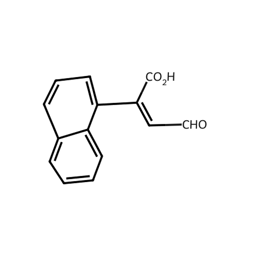 O=CC=C(C(=O)O)c1cccc2ccccc12